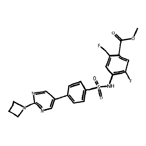 COC(=O)c1cc(F)c(NS(=O)(=O)c2ccc(-c3cnc(N4CCC4)nc3)cc2)cc1F